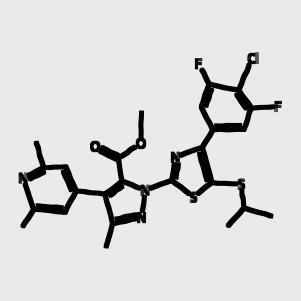 COC(=O)c1c(-c2cc(C)nc(C)c2)c(C)nn1-c1nc(-c2cc(F)c(Cl)c(F)c2)c(SC(C)C)s1